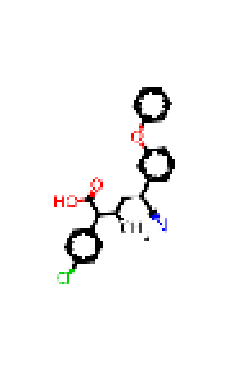 CC(C[C@H](C#N)c1cccc(Oc2ccccc2)c1)C(C(=O)O)c1ccc(Cl)cc1